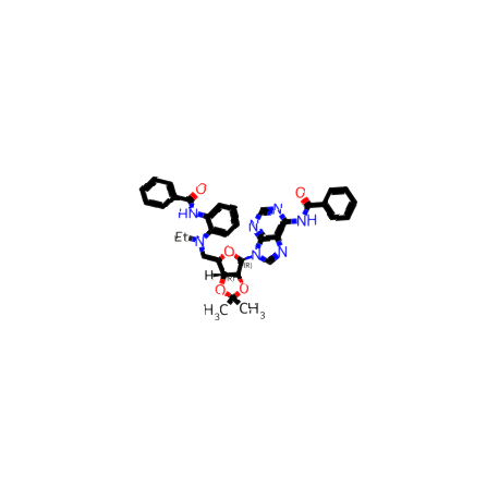 CCN(CC1O[C@@H](n2cnc3c(NC(=O)c4ccccc4)ncnc32)C2OC(C)(C)O[C@H]12)c1ccccc1NC(=O)c1ccccc1